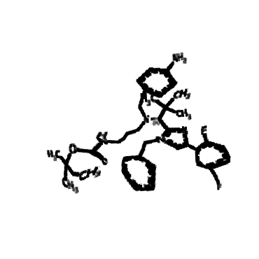 CC(C)(C)OC(=O)NCCCN(Cc1ccc(N)cc1)[C@@H](c1nc(-c2cc(F)ccc2F)cn1Cc1ccccc1)C(C)(C)C